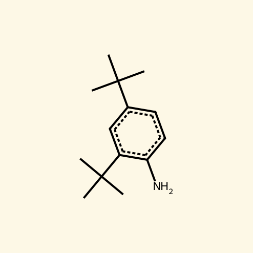 CC(C)(C)c1ccc(N)c(C(C)(C)C)c1